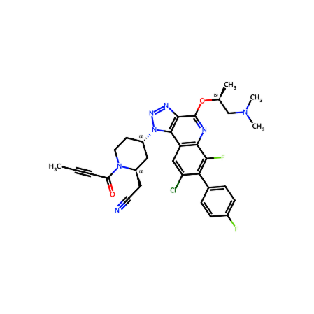 CC#CC(=O)N1CC[C@H](n2nnc3c(O[C@@H](C)CN(C)C)nc4c(F)c(-c5ccc(F)cc5)c(Cl)cc4c32)C[C@H]1CC#N